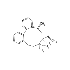 C=NC1(C)CC(=C)[n+]2ccccc2-c2ccccc2CCC1(C)C